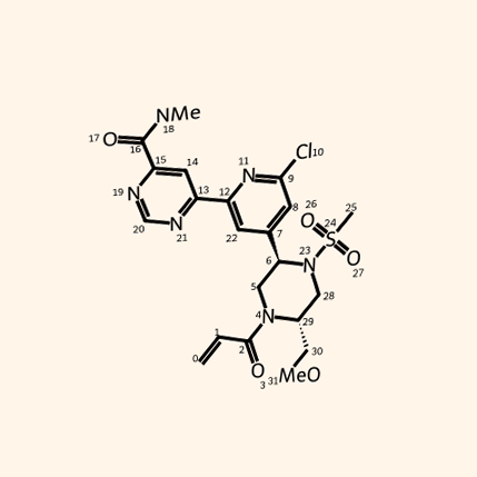 C=CC(=O)N1C[C@@H](c2cc(Cl)nc(-c3cc(C(=O)NC)ncn3)c2)N(S(C)(=O)=O)C[C@@H]1COC